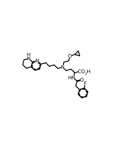 O=C(Cc1ccccc1F)NC(CCN(CCCCc1ccc2c(n1)NCCC2)CCOC1CC1)C(=O)O